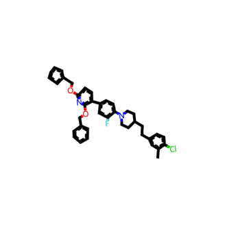 Cc1cc(CCC2CCN(c3ccc(-c4ccc(OCc5ccccc5)nc4OCc4ccccc4)cc3F)CC2)ccc1Cl